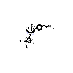 C/C=C1\C(=C/C(C)c2ccc(CCN)cc2)N1C(=O)OC(C)(C)C